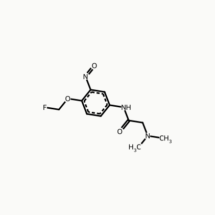 CN(C)CC(=O)Nc1ccc(OCF)c(N=O)c1